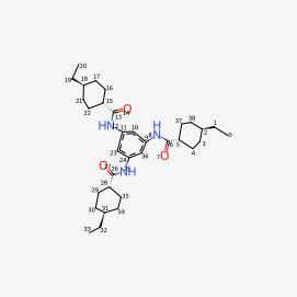 CC[C@H]1CC[C@H](C(=O)Nc2cc(NC(=O)[C@H]3CC[C@H](CC)CC3)cc(NC(=O)[C@H]3CC[C@H](CC)CC3)c2)CC1